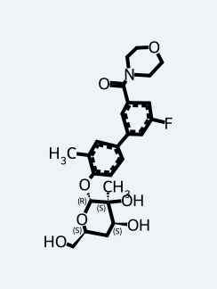 Cc1cc(-c2cc(F)cc(C(=O)N3CCOCC3)c2)ccc1O[C@H]1O[C@H](CO)C[C@H](O)[C@]1(C)O